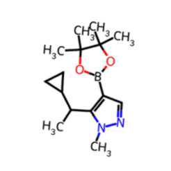 CC(c1c(B2OC(C)(C)C(C)(C)O2)cnn1C)C1CC1